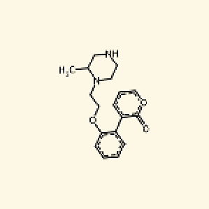 CC1CNCCN1CCOc1ccccc1-c1cccoc1=O